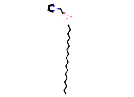 CCCCCCCCCCCCCCCCCCOP(=O)(O)OCCn1cccc1